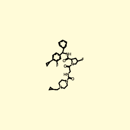 O=C(NC(c1ccccc1)c1ccc(C2CC2)c(F)c1)C1CC(F)CN1C(=O)CNC(=O)N1CCN(CC2CC2)CC1